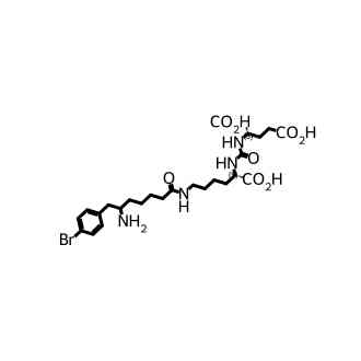 NC(CCCCC(=O)NCCCC[C@H](NC(=O)N[C@@H](CCC(=O)O)C(=O)O)C(=O)O)Cc1ccc(Br)cc1